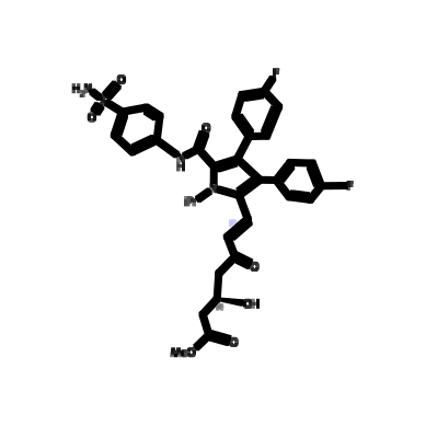 COC(=O)C[C@H](O)CC(=O)/C=C/c1c(-c2ccc(F)cc2)c(-c2ccc(F)cc2)c(C(=O)Nc2ccc(S(N)(=O)=O)cc2)n1C(C)C